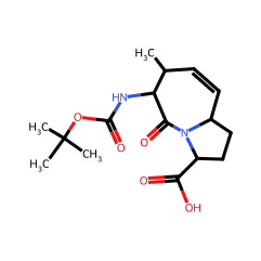 CC1C=CC2CCC(C(=O)O)N2C(=O)C1NC(=O)OC(C)(C)C